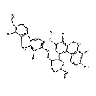 C=CC1CCC(COc2ccc3c(c2F)OCc2c-3ccc(OCC)c2F)C(c2cc(OCC)c(F)c3c2-c2ccc(O)c(F)c2OC3)C1